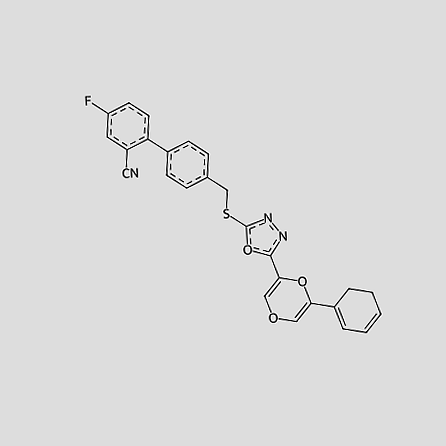 N#Cc1cc(F)ccc1-c1ccc(CSc2nnc(C3=COC=C(C4=CC=CCC4)O3)o2)cc1